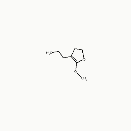 CCCC1=C(OC)OCC1